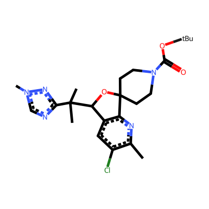 Cc1nc2c(cc1Cl)C(C(C)(C)c1ncn(C)n1)OC21CCN(C(=O)OC(C)(C)C)CC1